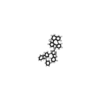 c1ccc(-n2c3ccccc3c3ccc(-c4nc(-n5c6cccc7c6c6c8c(ccc65)oc5ccc6cccc-7c6c58)nc5sc6ccccc6c45)cc32)cc1